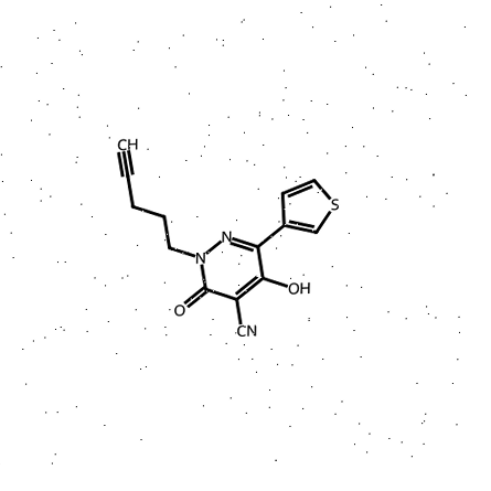 C#CCCCn1nc(-c2ccsc2)c(O)c(C#N)c1=O